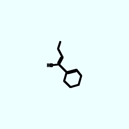 CCC=C(O)C1=CCCCC1